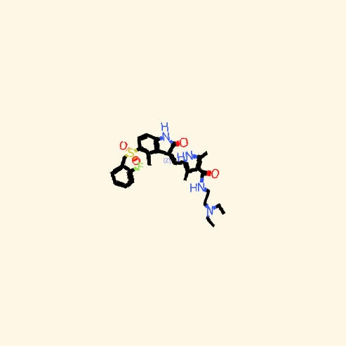 CCN(CC)CCNC(=O)c1c(C)[nH]c(/C=C2\C(=O)Nc3ccc(S(=O)(=O)Cc4ccccc4F)c(C)c32)c1C